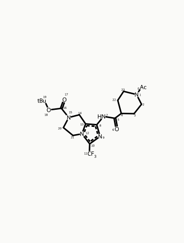 CC(=O)N1CCC(C(=O)Nc2nc(C(F)(F)F)n3c2CN(C(=O)OC(C)(C)C)CC3)CC1